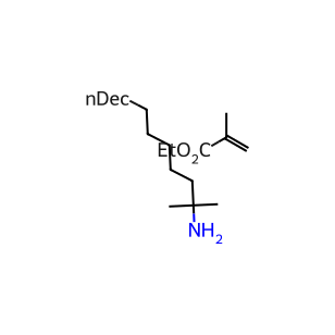 C=C(C)C(=O)OCC.CCCCCCCCCCCCCCCC(C)(C)N